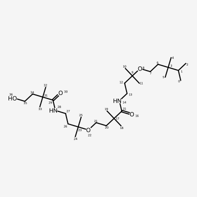 CC(C)C(C)(C)CCOC(C)(C)CCNC(=O)C(C)(C)CCOC(C)(C)CCNC(=O)C(C)(C)CCO